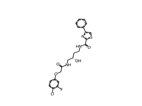 O=C(COc1ccc(Cl)c(F)c1)NC[C@@H](O)CCNC(=O)c1nc(-c2ccccc2)cs1